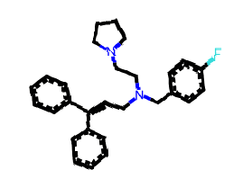 Fc1ccc(CN(CC=C(c2ccccc2)c2ccccc2)CCN2CCCC2)cc1